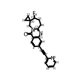 O=c1c2ccc(C#Cc3ccccn3)cc2nc2n1CC1(CC1)C(F)CC2